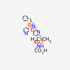 CC(C)(Cc1cccc(CN(Cc2cc3ccccc3s2)S(=O)(=O)c2cccnc2)n1)OC(=O)NCC(=O)O